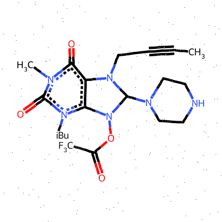 CC#CCN1c2c(n(C(C)CC)c(=O)n(C)c2=O)N(OC(=O)C(F)(F)F)C1N1CCNCC1